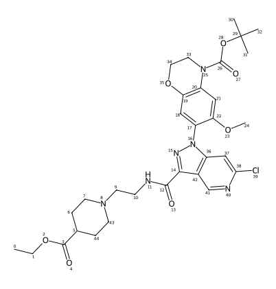 CCOC(=O)C1CCN(CCNC(=O)c2nn(-c3cc4c(cc3OC)N(C(=O)OC(C)(C)C)CCO4)c3cc(Cl)ncc23)CC1